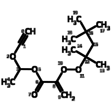 C#COC(C)OC(=O)C(=C)OOC(C)(C)CC(C)(C)C